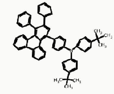 CC(C)(C)c1ccc(N(c2ccc(-c3cc(-c4ccccc4)c(-c4ccccc4)c4c5ccccc5c5ccccc5c34)cc2)c2ccc(C(C)(C)C)cc2)cc1